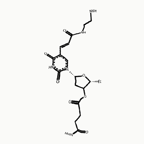 CC[C@H]1O[C@@H](n2cc(/C=C/C(=O)NCCNC)c(=O)[nH]c2=O)CC1OC(=O)CCC(=O)NC